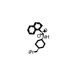 CC(C)C[C@H]1CC[C@@H](NS(=O)(=O)c2cccc3ccccc23)CC1